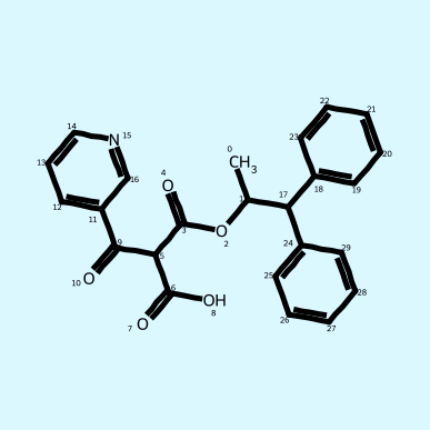 CC(OC(=O)C(C(=O)O)C(=O)c1cccnc1)C(c1ccccc1)c1ccccc1